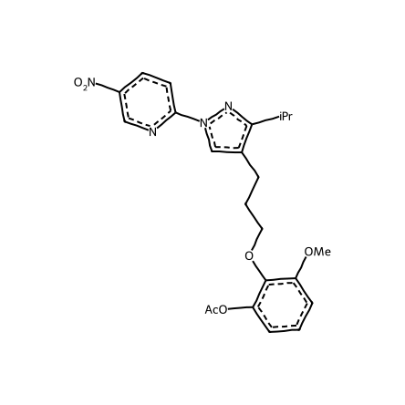 COc1cccc(OC(C)=O)c1OCCCc1cn(-c2ccc([N+](=O)[O-])cn2)nc1C(C)C